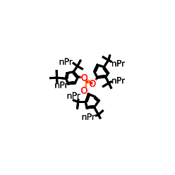 CCCC(C)(C)c1ccc(OP(Oc2ccc(C(C)(C)CCC)cc2C(C)(C)CCC)Oc2ccc(C(C)(C)CCC)cc2C(C)(C)CCC)c(C(C)(C)CCC)c1